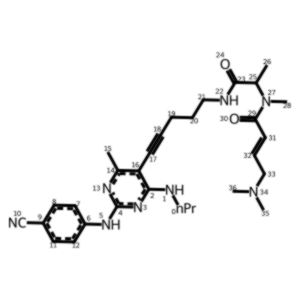 CCCNc1nc(Nc2ccc(C#N)cc2)nc(C)c1C#CCCCNC(=O)C(C)N(C)C(=O)C=CCN(C)C